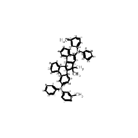 Cc1cccc(N(c2ccccc2)c2ccc3c4c(c5ccccc5c3c2)-c2c(cc(N(c3ccccc3)c3cccc(C)c3)c3ccccc23)C4(C)C)c1